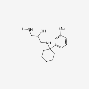 CC(C)(C)c1cccc(C2(NCC(O)CNI)CCCCC2)c1